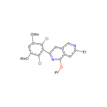 CCc1cc2c(OC(C)C)nc(-c3c(Cl)c(OC)cc(OC)c3Cl)cc2cn1